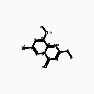 CCc1cc(=O)n2cc(Br)cc(OC)c2n1